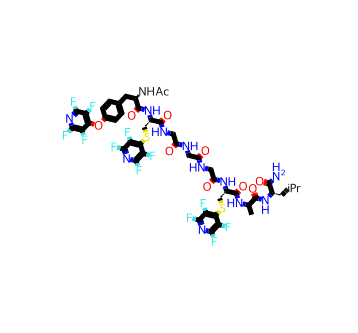 CC(=O)N[C@H](Cc1ccc(Oc2c(F)c(F)nc(F)c2F)cc1)C(=O)N[C@@H](CSc1c(F)c(F)nc(F)c1F)C(=O)NCC(=O)NCC(=O)NCC(=O)N[C@@H](CSc1c(F)c(F)nc(F)c1F)C(=O)NC(C)C(=O)N[C@@H](CC(C)C)C(N)=O